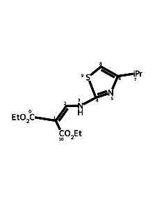 CCOC(=O)C(=CNc1nc(C(C)C)cs1)C(=O)OCC